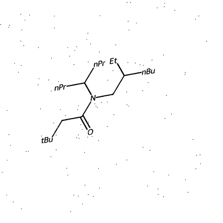 CCCCC(CC)CN(C(=O)CC(C)(C)C)C(CCC)CCC